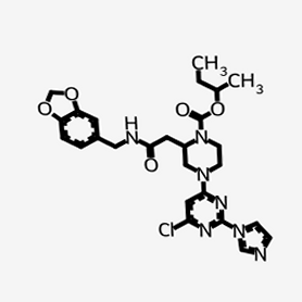 CCC(C)OC(=O)N1CCN(c2cc(Cl)nc(-n3ccnc3)n2)CC1CC(=O)NCc1ccc2c(c1)OCO2